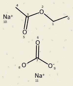 CCOC(C)=O.O=C([O-])[O-].[Na+].[Na+]